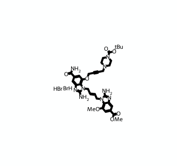 Br.Br.COC(=O)c1cc(OC)c2c(c1)nc(N)n2C/C=C/Cn1c(N)nc2cc(C(N)=O)cc(OCC#CCN3CCN(C(=O)OC(C)(C)C)CC3)c21